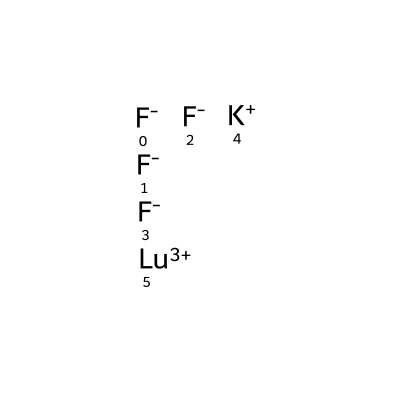 [F-].[F-].[F-].[F-].[K+].[Lu+3]